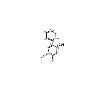 N#Cc1cc(F)c(F)cc1-c1ccncc1